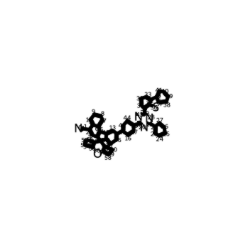 N#Cc1cc2c(c3ccccc13)-c1cc(-c3ccc(-c4nc(-c5ccccc5)nc(-c5cccc6c5sc5ccccc56)n4)cc3)ccc1C21c2ccccc2Oc2ccccc21